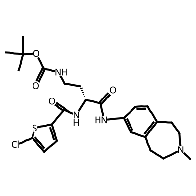 CN1CCc2ccc(NC(=O)[C@@H](CCNC(=O)OC(C)(C)C)NC(=O)c3ccc(Cl)s3)cc2CC1